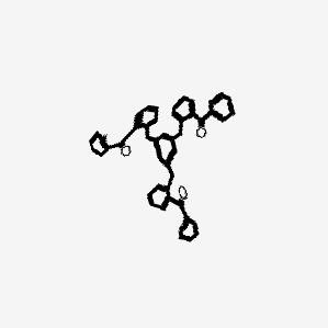 O=C(c1ccccc1)c1ccccc1Cc1cc(Cc2ccccc2C(=O)c2ccccc2)cc(Cc2ccccc2C(=O)c2ccccc2)c1